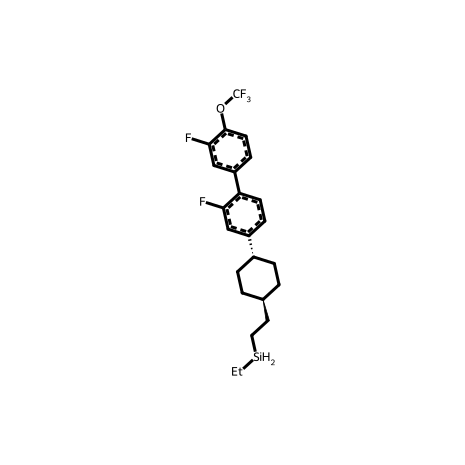 CC[SiH2]CC[C@H]1CC[C@H](c2ccc(-c3ccc(OC(F)(F)F)c(F)c3)c(F)c2)CC1